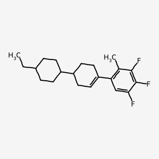 CCC1CCC(C2CC=C(c3cc(F)c(F)c(F)c3C)CC2)CC1